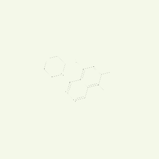 Oc1c(Cl)cc(Cl)c2c(N3CCOCC3)nncc12